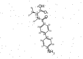 CC(C)[C@@H](C(=O)O)N(C)C(=O)c1ccc(-c2ccc(N)cc2)cc1